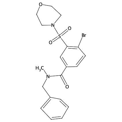 CN(Cc1ccccc1)C(=O)c1ccc(Br)c(S(=O)(=O)N2CCOCC2)c1